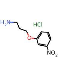 Cl.NCCCOc1cccc([N+](=O)[O-])c1